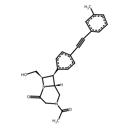 CC(=O)N1CC(=O)N2[C@@H](CO)[C@@H](c3ccc(C#Cc4cccc(C)c4)cc3)[C@@H]2C1